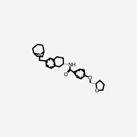 O=C(N[C@H]1CCc2cc(CN3C4CCCC3CC4)ccc2C1)c1ccc(OC[C@@H]2CCCO2)cc1